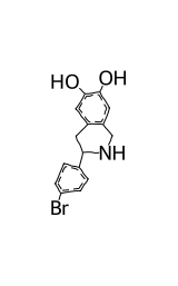 Oc1cc2c(cc1O)CC(c1ccc(Br)cc1)NC2